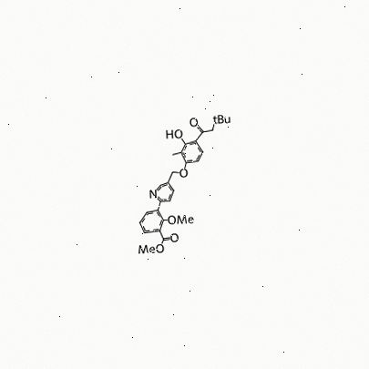 COC(=O)c1cccc(-c2ccc(COc3ccc(C(=O)CC(C)(C)C)c(O)c3C)cn2)c1OC